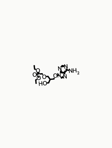 CCOP(=O)(COCC(CO)COn1cnc2c(N)ncnc21)OCC